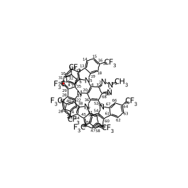 Cn1nc2c(-n3c4cc(C(F)(F)F)ccc4c4ccc(C(F)(F)F)cc43)c(-n3c4cc(C(F)(F)F)ccc4c4ccc(C(F)(F)F)cc43)c(-n3c4cc(C(F)(F)F)ccc4c4ccc(C(F)(F)F)cc43)c(-n3c4cc(C(F)(F)F)ccc4c4ccc(C(F)(F)F)cc43)c2n1